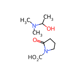 CC(O)N(C)C.O=C(O)N1CCCC1=O